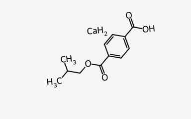 CC(C)COC(=O)c1ccc(C(=O)O)cc1.[CaH2]